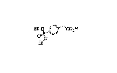 CCOP(=O)(OCC)c1ccc(CC(=O)O)cc1